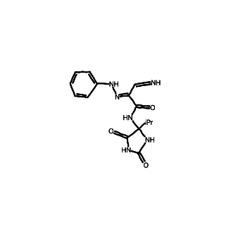 CC(C)C1(NC(=O)/C(C=N)=N/Nc2ccccc2)NC(=O)NC1=O